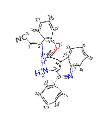 N#CC[C@H](NC(=O)c1c(N)c(-c2ccccc2)nc2ccccc12)c1ccccc1